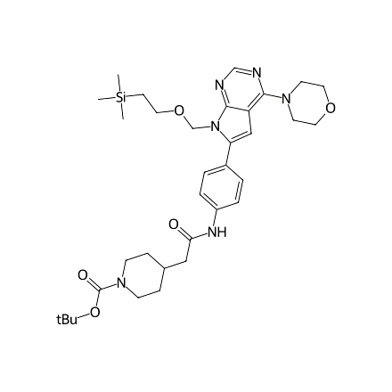 CC(C)(C)OC(=O)N1CCC(CC(=O)Nc2ccc(-c3cc4c(N5CCOCC5)ncnc4n3COCC[Si](C)(C)C)cc2)CC1